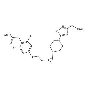 COCc1noc(N2CCC(C3CC3CCOc3cc(F)c(CC(=O)OC)c(F)c3)CC2)n1